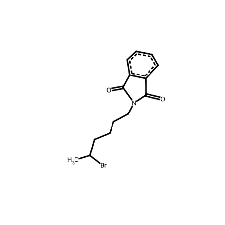 CC(Br)CCCCN1C(=O)c2ccccc2C1=O